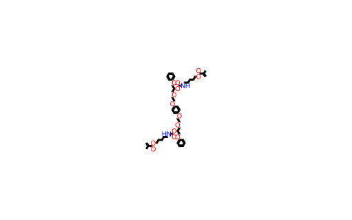 C=C(C)C(=O)OCCCCCNC(=O)OC(COCCOc1ccc(OCCOCC(COc2ccccc2)OC(=O)NCCCCCOC(=O)C(=C)C)cc1)COc1ccccc1